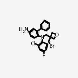 Nc1ccc(N(CC2(CBr)COC2)c2ccc(F)cc2Cl)c(-c2ccccc2)c1